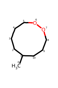 CC1CCCCOOCCC1